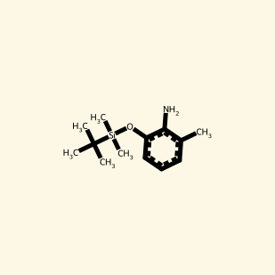 Cc1cccc(O[Si](C)(C)C(C)(C)C)c1N